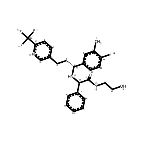 Cc1cc([C@@H](CCc2ccc(C(F)(F)F)nc2)NC(C(=O)NCCO)c2ccccc2)ccc1F